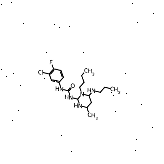 CCCCN1C(NCCC)CC(C)NC1NC(=O)Nc1ccc(F)c(Cl)c1